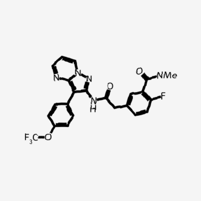 CNC(=O)c1cc(CC(=O)Nc2nn3cccnc3c2-c2ccc(OC(F)(F)F)cc2)ccc1F